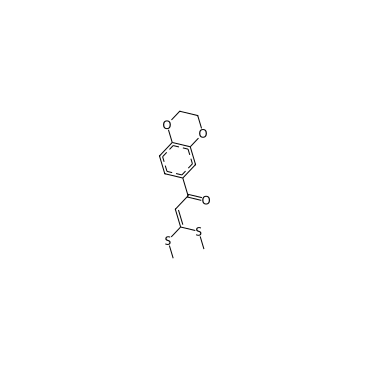 CSC(=CC(=O)c1ccc2c(c1)OCCO2)SC